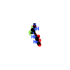 COc1cc(C(=O)NC2CCOCC2)ccc1NCC#Cc1cc2c(N[C@@H]3CCN(C)C[C@@H]3F)cccc2n1CC(F)(F)F